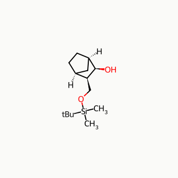 CC(C)(C)[Si](C)(C)OC[C@H]1[C@H]2CC[C@H](C2)[C@H]1O